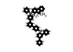 CC1(C)c2ccccc2-c2ccc(N(c3ccccc3)c3ccc(-c4cccc(-c5ccc(NC6C=CC(c7ccccc7)=CC6c6ccccc6)cc5)c4)cc3)cc21